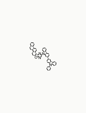 c1ccc(-n2c3ccccc3c3cc(-c4ccc5c6ccccc6n(-c6cnc7oc8ccc9c%10ccc%11ccccc%11c%10ccc9c8c7n6)c5c4)ccc32)cc1